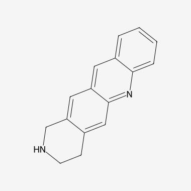 c1ccc2nc3cc4c(cc3cc2c1)CNCC4